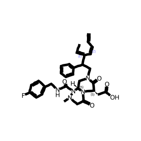 C=C/C=C\C(=C/C)C(CN1C[C@H]2N(C(=O)CN(C)N2C(=O)NCc2ccc(F)cc2)[C@@H](CC(=O)O)C1=O)c1ccccc1